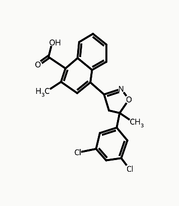 Cc1cc(C2=NOC(C)(c3cc(Cl)cc(Cl)c3)C2)c2ccccc2c1C(=O)O